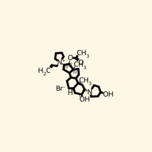 C=CC[N+]1([C@H]2CC3C4CC[C@H]5C[C@H](O)[C@@H](N6CCC(O)CC6)C[C@]5(C)C4CC[C@]3(C)[C@H]2OC(C)=O)CCCC1.[Br-]